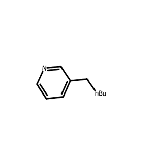 CCCC[CH]c1cccnc1